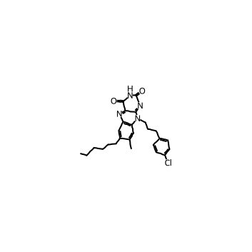 CCCCCCc1cc2nc3c(=O)[nH]c(=O)nc-3n(CCCc3ccc(Cl)cc3)c2cc1C